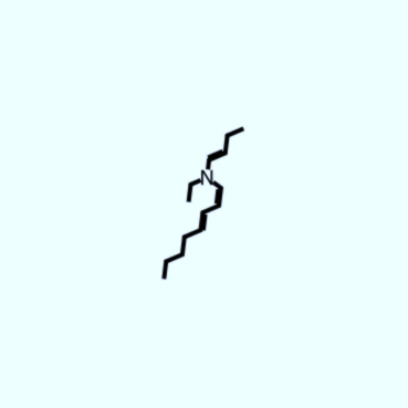 CC/C=C/N(/C=C\C=C\CCCC)CC